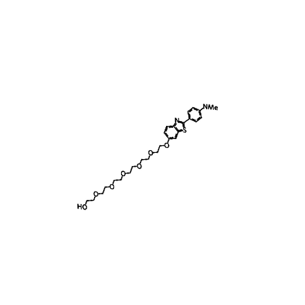 CNc1ccc(-c2nc3ccc(OCCOCCOCCOCCOCCOCCO)cc3s2)cc1